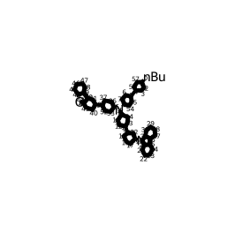 CCCCc1ccc(-c2ccc(N(c3ccc(-c4cccc(-n5c6ccccc6c6ccccc65)c4)cc3)c3ccc(-c4ccc5oc6ccccc6c5c4)cc3)cc2)cc1